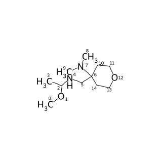 COC(C)NCC1(N(C)C)CCOCC1